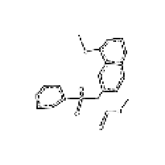 COC=O.COc1cccc2ccc(CS(=O)(=O)c3ccccc3)cc12